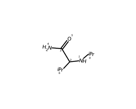 CC(C)NC(C(N)=O)C(C)C